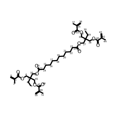 C=C(C)C(=O)OCC(CC)(COC(=O)CCCCCCCCCCC(=O)OCC(CC)(COC(=O)C(=C)C)COC(=O)C(=C)C)COC(=O)C(=C)C